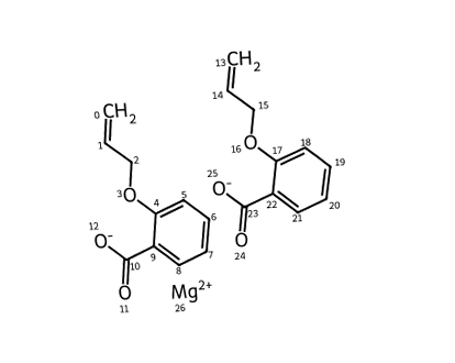 C=CCOc1ccccc1C(=O)[O-].C=CCOc1ccccc1C(=O)[O-].[Mg+2]